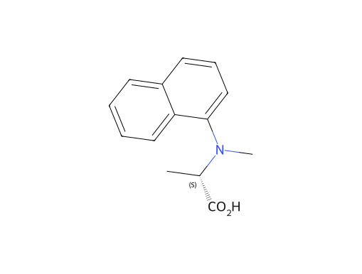 C[C@@H](C(=O)O)N(C)c1cccc2ccccc12